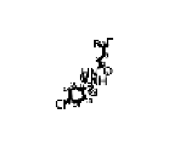 O=C(CCC(F)F)NNS(=O)(=O)c1ccc(Cl)cc1